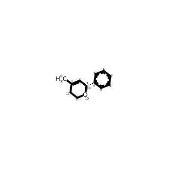 CC1=C[C@H](c2ccccc2)OCC1